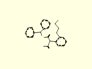 CCCCc1ccccc1C(C(N)=O)C(=O)OC(c1ccccc1)c1ccccc1